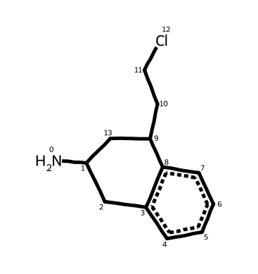 NC1Cc2ccccc2C(CCCl)C1